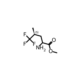 COC(=O)C(N)C[C@H](C)C(F)(F)F